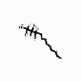 CCCCCCCCCC(Br)(Br)C(Br)(Br)C(O)(Br)Br